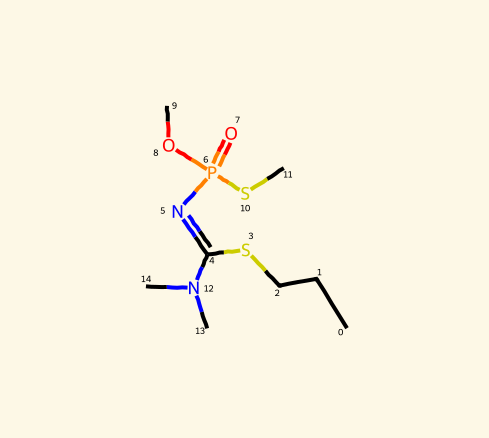 CCCS/C(=N\P(=O)(OC)SC)N(C)C